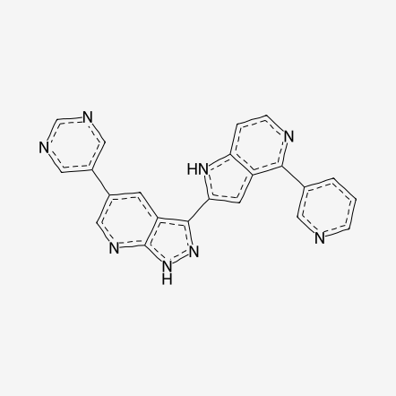 c1cncc(-c2nccc3[nH]c(-c4n[nH]c5ncc(-c6cncnc6)cc45)cc23)c1